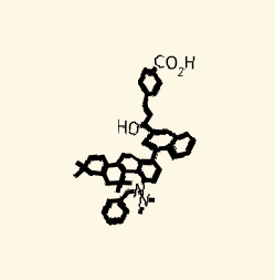 CN(C)N(Cc1ccccc1)c1ccc(-c2cc(C(O)C=Cc3ccc(C(=O)O)cc3)cc3ccccc23)c2ccc3c(c12)C(C)(C)CC1=C3C=CC(C)(C)C1